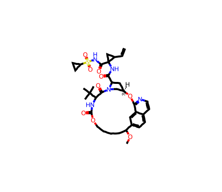 C=CC1CC1(NC(=O)C1C[C@@H]2CN1C(=O)C(C(C)(C)C)NC(=O)OCCCCC(OC)c1ccc3ccnc(c3c1)O2)C(=O)NS(=O)(=O)C1CC1